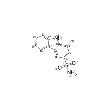 Cc1cc(S(N)(=O)=O)cc2c1[nH]c1ccccc12